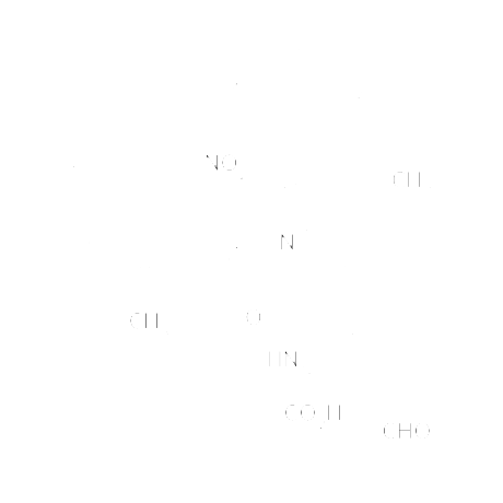 Cc1ccccc1N(CC(CC=O)NC(=O)O)C(=O)c1c(C)cccc1[N+](=O)[O-]